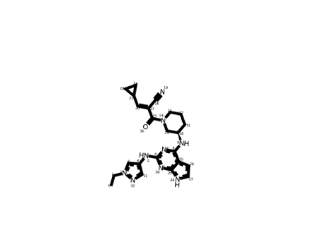 CCn1cc(Nc2nc(N[C@@H]3CCCN(C(=O)/C(C#N)=C/C4CC4)C3)c3cc[nH]c3n2)cn1